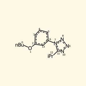 CCCCOc1cccc(-n2nnnc2C(C)C)c1